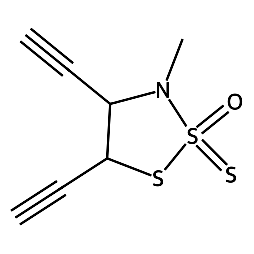 C#CC1SS(=O)(=S)N(C)C1C#C